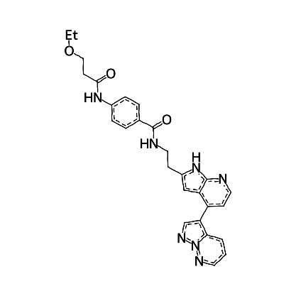 CCOCCC(=O)Nc1ccc(C(=O)NCCc2cc3c(-c4cnn5ncccc45)ccnc3[nH]2)cc1